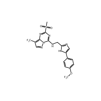 CS(=O)(=O)c1nc(NCc2ncc(-c3ccc(OC(F)(F)F)cc3)[nH]2)n2ncc(C(F)(F)F)c2n1